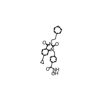 O=C(NO)c1ccc(Cn2c(=O)n(CCc3ccccc3)c(=O)c3ccc(C4CC4)cc32)cc1